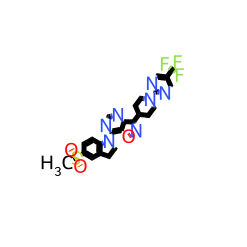 CS(=O)(=O)c1ccc2c(c1)CCN2c1ncnc2c(C3CCN(c4ncc(C(F)(F)F)cn4)CC3)noc12